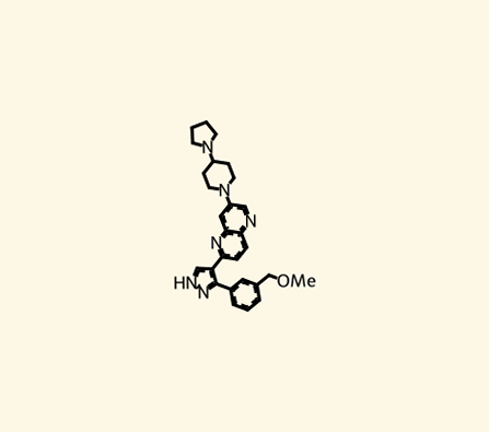 COCc1cccc(-c2n[nH]cc2-c2ccc3ncc(N4CCC(N5CCCC5)CC4)cc3n2)c1